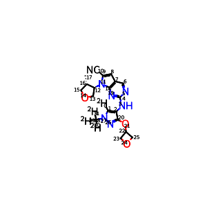 [2H]c1c(Nc2ncc3cc(C#N)n([C@H]4COC[C@@H]4C)c3n2)c(OC2COC2)nn1C([2H])([2H])[2H]